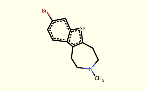 CN1CCc2[se]c3cc(Br)ccc3c2CC1